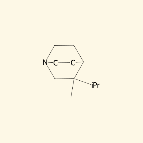 CC(C)C1(C)CN2CCC1CC2